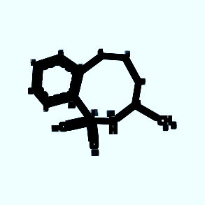 CC1CCCc2ccccc2S(=O)(=O)N1